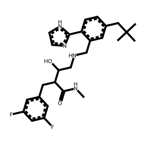 CNC(=O)C(Cc1cc(F)cc(F)c1)C(O)CNCc1cc(CC(C)(C)C)ccc1-c1ncc[nH]1